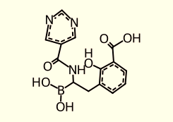 O=C(NC(Cc1cccc(C(=O)O)c1O)B(O)O)c1cncnc1